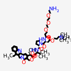 CCc1c2c(nc3ccccc13)-c1cc3c(c(=O)n1C2)COC(=O)[C@@]3(CC)OC(=O)[C@@H](NC(=O)[C@@H]1CCCN1C(=O)[C@H](CC(=O)OCCC[N+](C)(C)C)NC(=O)CCOCCOCCOCCN)C(C)C